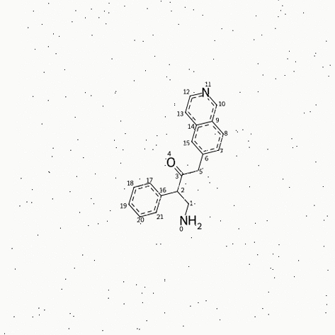 NCC(C(=O)Cc1ccc2cnccc2c1)c1ccccc1